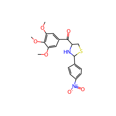 COc1cc(C(=O)C2CSC(c3ccc([N+](=O)[O-])cc3)N2)cc(OC)c1OC